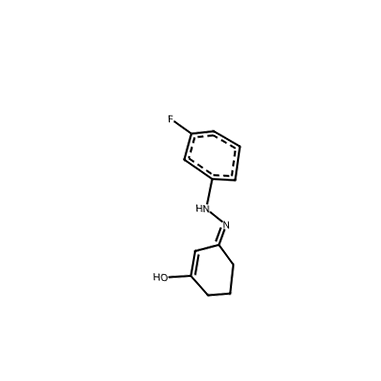 OC1=C/C(=N\Nc2cccc(F)c2)CCC1